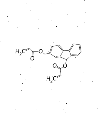 C=CC(=O)OCc1ccc2c(c1)C(OC(=O)C=C)c1ccccc1-2